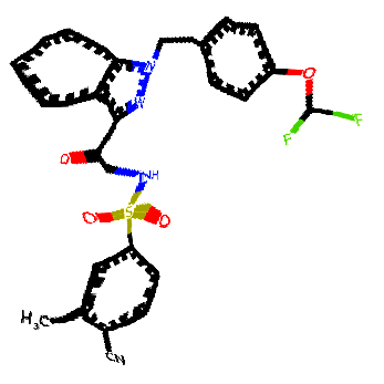 Cc1cc(S(=O)(=O)NC(=O)c2nn(Cc3ccc(OC(F)F)cc3)c3ccccc23)ccc1C#N